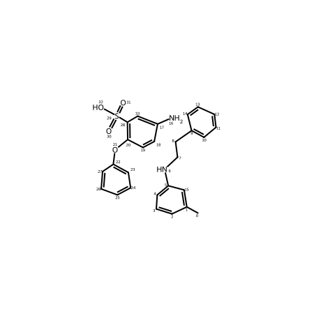 Cc1cccc(NCCc2ccccc2)c1.Nc1ccc(Oc2ccccc2)c(S(=O)(=O)O)c1